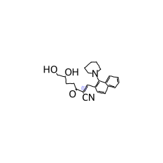 N#C/C(=C\c1ccc2ccccc2c1N1CCCCC1)C(=O)CCC(O)CO